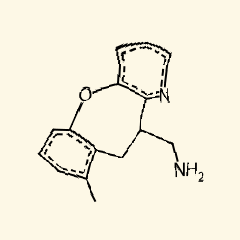 Cc1cccc2c1CC(CN)c1ncccc1O2